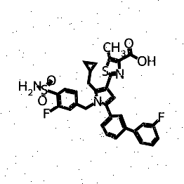 Cc1sc(-c2cc(-c3cccc(-c4cccc(F)c4)c3)n(Cc3ccc(S(N)(=O)=O)c(F)c3)c2CC2CC2)nc1C(=O)O